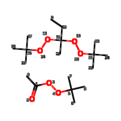 CC(=O)OOC(C)(C)C.CCC(C)(OOC(C)(C)C)OOC(C)(C)C